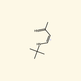 CC(=N)/C=C\NC(C)(C)C